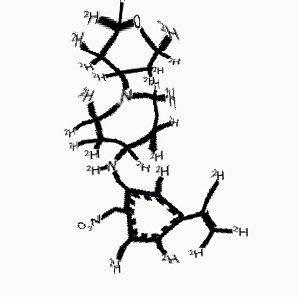 [2H]C([2H])=C([2H])c1c([2H])c([2H])c([N+](=O)[O-])c(N([2H])C2([2H])C([2H])([2H])C([2H])([2H])N(C3([2H])C([2H])([2H])C([2H])([2H])OC([2H])([2H])C3([2H])[2H])C([2H])([2H])C2([2H])[2H])c1[2H]